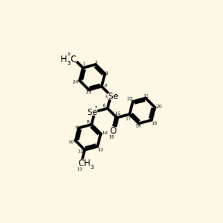 Cc1ccc([Se]C([Se]c2ccc(C)cc2)C(=O)c2ccccc2)cc1